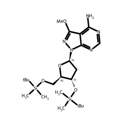 COc1nn([C@H]2C[C@H](O[Si](C)(C)C(C)(C)C)[C@@H](CO[Si](C)(C)C(C)(C)C)O2)c2ncnc(N)c12